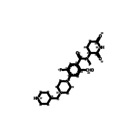 CN(C(=O)c1cc(F)c(N2CCN(CC3CCNCC3)CC2)cc1C=O)C1CCC(=O)NC1=O